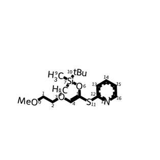 COCCOC=C(O[Si](C)(C)C(C)(C)C)Sc1ccccn1